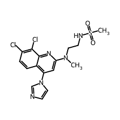 CN(CCNS(C)(=O)=O)c1cc(-n2ccnc2)c2ccc(Cl)c(Cl)c2n1